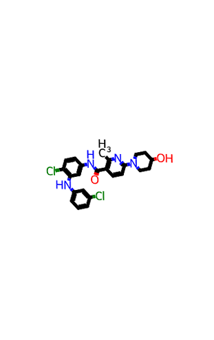 Cc1nc(N2CCC(O)CC2)ccc1C(=O)Nc1ccc(Cl)c(Nc2cccc(Cl)c2)c1